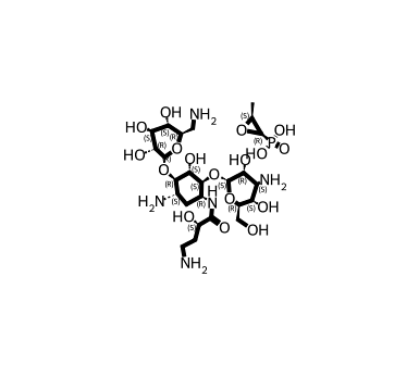 C[C@@H]1O[C@@H]1P(=O)(O)O.NCC[C@H](O)C(=O)N[C@@H]1C[C@H](N)[C@@H](O[C@H]2O[C@H](CN)[C@@H](O)[C@H](O)[C@H]2O)[C@H](O)[C@H]1O[C@H]1O[C@H](CO)[C@@H](O)[C@H](N)[C@H]1O